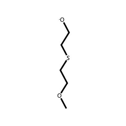 COCCSCC[O]